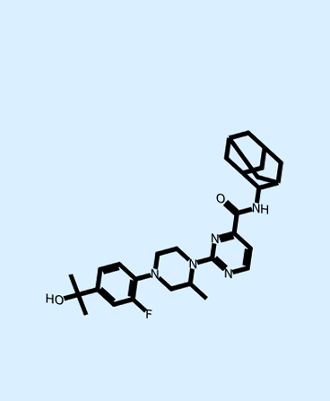 CC1CN(c2ccc(C(C)(C)O)cc2F)CCN1c1nccc(C(=O)NC2C3CC4CC(C3)CC2C4)n1